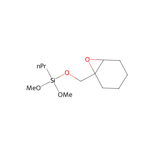 CCC[Si](OC)(OC)OCC12CCCCC1O2